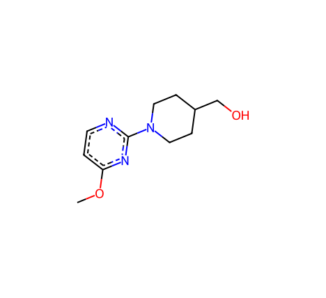 COc1ccnc(N2CCC(CO)CC2)n1